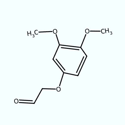 COc1ccc(OCC=O)cc1OC